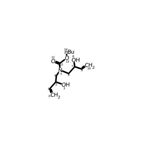 C=CC(O)CN(CC(O)C=C)C(=O)OCCCC